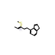 C/C=C(/CCc1cccc2c1C=CC2)SC